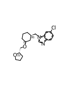 Clc1ccc2ncn(C[C@@H]3CCC[C@H](OC[C@@H]4CCCO4)C3)c2c1